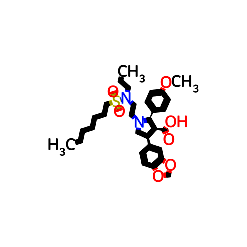 CCCCCCCS(=O)(=O)N(CCC)CCN1C[C@H](c2ccc3c(c2)OCO3)[C@H](C(=O)O)[C@H]1c1ccc(OC)cc1